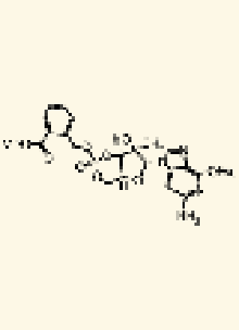 COC(=O)c1ccccc1COP1(=O)OC[C@H]2O[C@@H](n3cnc4c(OC)nc(N)nc43)[C@](C)(O)[C@@H]2O1